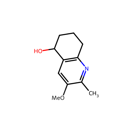 COc1cc2c(nc1C)CCCC2O